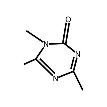 Cc1nc(C)n(C)c(=O)n1